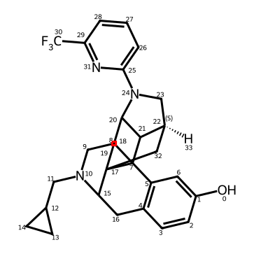 Oc1ccc2c(c1)C13CCN(CC4CC4)C(C2)C12CCC1C3[C@@H](CN1c1cccc(C(F)(F)F)n1)C2